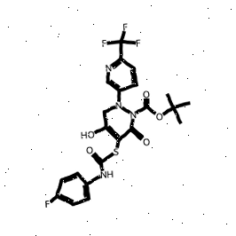 CC(C)(C)OC(=O)N1C(=O)C(SC(=O)Nc2ccc(F)cc2)=C(O)CN1c1ccc(C(F)(F)F)nc1